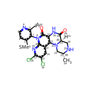 CSc1ccnc(C(C)C)c1-n1c(=O)c2c(c3cc(Cl)c(Cl)nc31)N1C[C@@H](C)NC[C@@H]1C(=O)N2